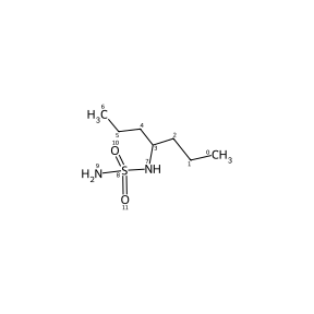 CCCC(CCC)NS(N)(=O)=O